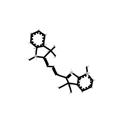 CN1/C(=C/C=C/C2=Nc3c(ccc[n+]3C)C2(C)C)C(C)(C)c2ccccc21